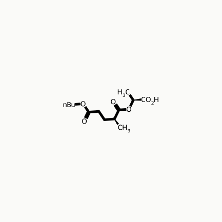 CCCCOC(=O)CC[C@H](C)C(=O)O[C@@H](C)C(=O)O